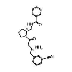 N#Cc1cccc(C[C@@H](N)CC(=O)N2CCC[C@H]2CNC(=O)c2ccccc2)c1